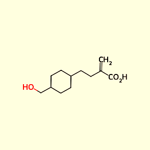 C=C(CCC1CCC(CO)CC1)C(=O)O